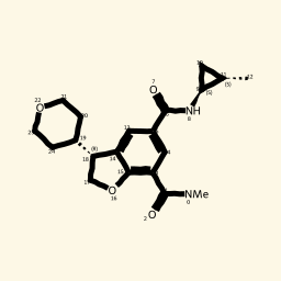 CNC(=O)c1cc(C(=O)N[C@H]2C[C@@H]2C)cc2c1OC[C@@H]2C1CCOCC1